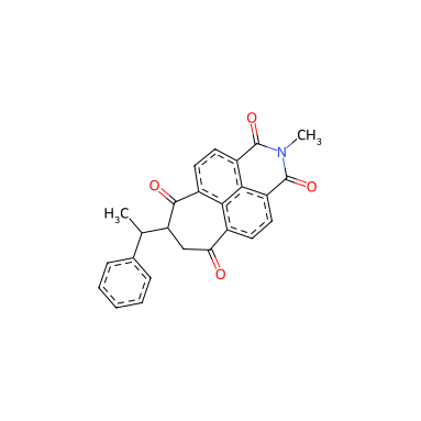 CC(c1ccccc1)C1CC(=O)c2ccc3c4c(ccc(c24)C1=O)C(=O)N(C)C3=O